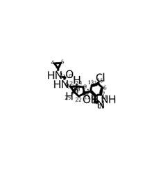 O=C(NC1CC1)N[C@@H]1[C@@H]2C[C@@](O)(c3cc(Cl)cc4[nH]ncc34)C[C@@H]21